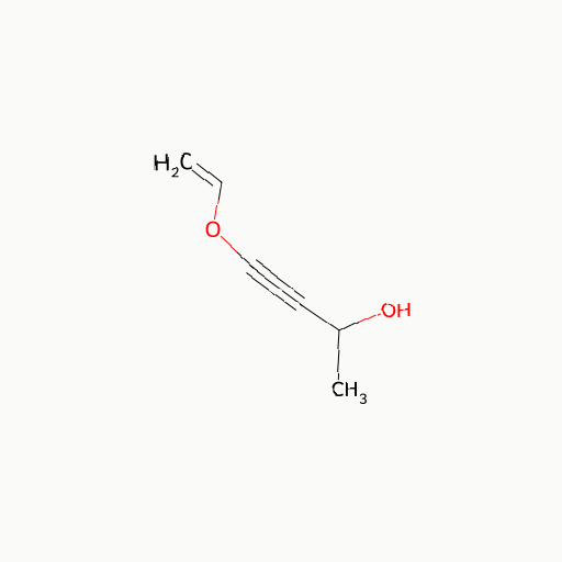 C=COC#CC(C)O